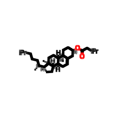 CC(C)CCC[C@@H](C)[C@H]1CC[C@H]2[C@@H]3CC=C4C[C@@H](OC(=O)CC(C)C)CC[C@]4(C)[C@H]3CC[C@]12C